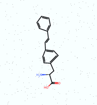 N[C@@H](Cc1ccc(C=Cc2ccccc2)cc1)C(=O)O